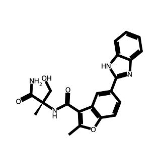 Cc1oc2ccc(-c3nc4ccccc4[nH]3)cc2c1C(=O)N[C@@](C)(CO)C(N)=O